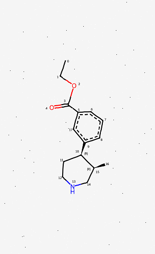 CCOC(=O)c1cccc([C@@H]2CCNC[C@@H]2C)c1